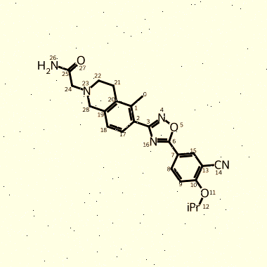 Cc1c(-c2noc(-c3ccc(OC(C)C)c(C#N)c3)n2)ccc2c1CCN(CC(N)=O)C2